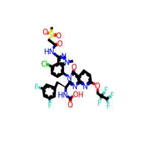 Cn1nc(NC(=O)CS(C)(=O)=O)c2c(Cl)ccc(-n3c([C@H](Cc4cc(F)cc(F)c4)NC(=O)O)nc4nc(OCC(F)(F)C(F)F)ccc4c3=O)c21